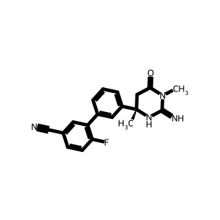 CN1C(=N)N[C@](C)(c2cccc(-c3cc(C#N)ccc3F)c2)CC1=O